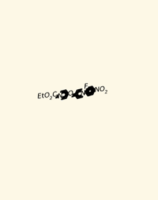 CCOC(=O)CN1CCC(OCC2CCN(c3ccc([N+](=O)[O-])cc3F)CC2)CC1